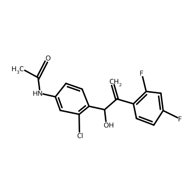 C=C(c1ccc(F)cc1F)C(O)c1ccc(NC(C)=O)cc1Cl